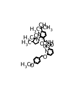 COc1ccc(COc2cccc(S(=O)(=O)NC(=O)c3ccc(C(C)(C)C)nc3N3CCC(C)C3(C)C)n2)cc1